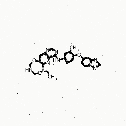 CCN1CCNCOc2cc3ncnc(Nc4ccc(Oc5ccn6ncnc6c5)c(C)c4)c3nc21